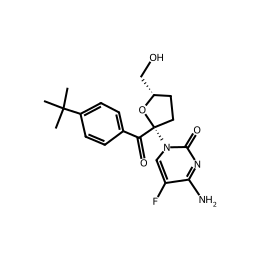 CC(C)(C)c1ccc(C(=O)[C@]2(n3cc(F)c(N)nc3=O)CC[C@@H](CO)O2)cc1